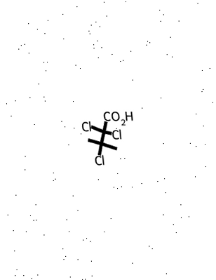 CC(C)(Cl)C(Cl)(Cl)C(=O)O